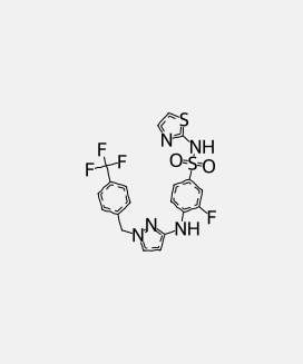 O=S(=O)(Nc1nccs1)c1ccc(Nc2ccn(Cc3ccc(C(F)(F)F)cc3)n2)c(F)c1